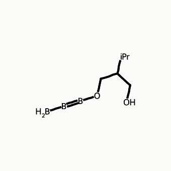 BB=BOCC(CO)C(C)C